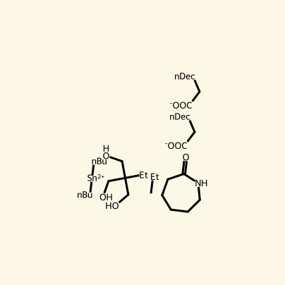 CCC.CCC(CO)(CO)CO.CCCCCCCCCCCC(=O)[O-].CCCCCCCCCCCC(=O)[O-].CCC[CH2][Sn+2][CH2]CCC.O=C1CCCCCN1